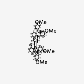 COc1ccc(Nc2cccc(OCCSc3cccc(Nc4ccc(OC)cc4)c3Nc3ccc(OC)cc3)c2Nc2ccc(OC)cc2)cc1